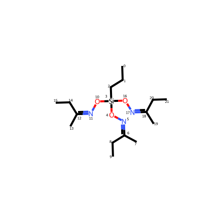 CCC[Si](ON=C(C)CC)(ON=C(C)CC)ON=C(C)CC